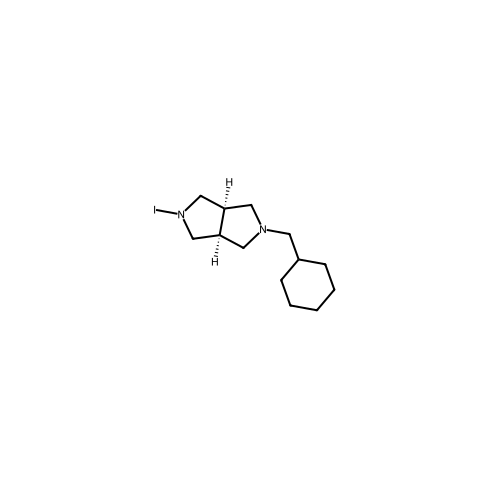 IN1C[C@@H]2CN(CC3CCCCC3)C[C@@H]2C1